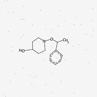 CC(ON1CCC(O)CC1)c1ccccc1